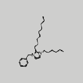 CCCCCCCCCc1n(Cc2ccccc2)cc[n+]1CCCCCC